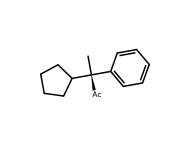 CC(=O)[C@@](C)(c1ccccc1)C1CCCC1